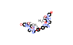 CC(C)[C@H](NC(=O)N1CCC(=O)CC1)C(=O)N1CCC[C@H]1c1ncc(-c2ccc(C34CCC(c5cnc([C@@H]6CCCN6C(=O)[C@@H](NC(=O)N6CCC(=O)CC6)C(C)C)[nH]5)(CC3)CC4)cc2)[nH]1